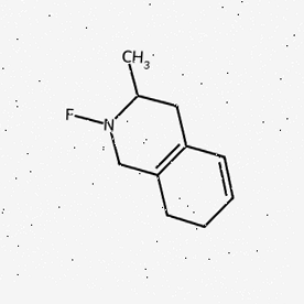 CC1CC2=C(CCC=C2)CN1F